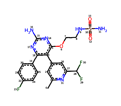 Cc1cc(-c2c(OCCNS(N)(=O)=O)nc(N)nc2-c2ccc(F)cc2)cc(C(F)F)n1